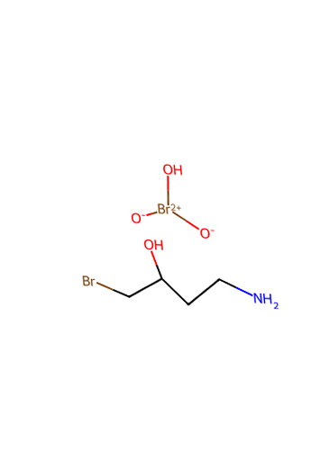 NCCC(O)CBr.[O-][Br+2]([O-])O